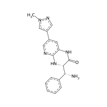 Cn1cc(-c2cnc3c(c2)NC(=O)[C@H]([C@H](N)c2ccccc2)N3)cn1